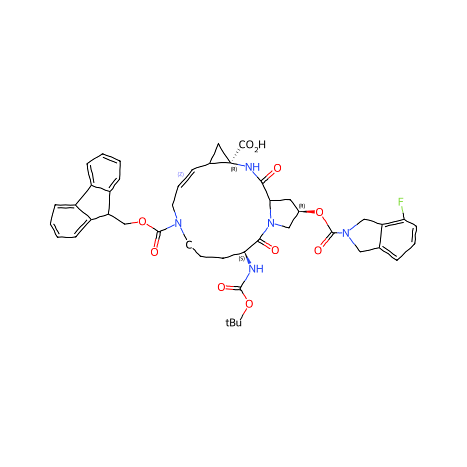 CC(C)(C)OC(=O)N[C@H]1CCCN(C(=O)OCC2c3ccccc3-c3ccccc32)C/C=C\C2C[C@@]2(C(=O)O)NC(=O)C2C[C@@H](OC(=O)N3Cc4cccc(F)c4C3)CN2C1=O